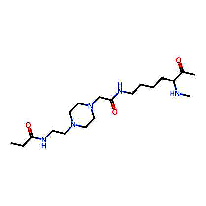 CCC(=O)NCCN1CCN(CC(=O)NCCCC[C@H](NC)C(C)=O)CC1